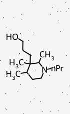 CCCN1CCC(C)C(C)(CCCO)C1C